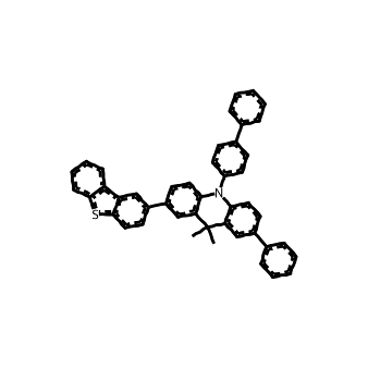 CC1(C)c2cc(-c3ccccc3)ccc2N(c2ccc(-c3ccccc3)cc2)c2ccc(-c3ccc4sc5ccccc5c4c3)cc21